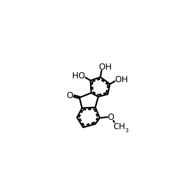 COc1cccc2c1-c1cc(O)c(O)c(O)c1C2=O